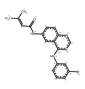 CC(C)=CC(=O)Nc1ccc2ncnc(Nc3cccc(Br)c3)c2c1